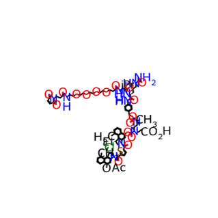 CC[C@@H]1CN(C(=O)c2ccc(C(=O)N3C[C@@H](CCl)c4c3cc(OC(C)=O)c3cccc(C)c43)s2)c2cc(OC(=O)N(CCC(=O)O)CCN(C)C(=O)OCc3ccc(NC(=O)[C@H](CCCNC(N)=O)NC(=O)[C@@H](NC(=O)CCOCCOCCOCCOCCNC(=O)CCN4C(=O)C=CC4=O)C(C)C)cc3)c3cccc(C)c3c21